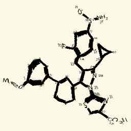 COc1cccc(-c2cccc(-c3c(Cc4ccc([S+](N)[O-])cc4F)c(C4CC4)nn3-c3nc(C(=O)O)cs3)c2)c1